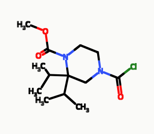 COC(=O)N1CCN(C(=O)Cl)CC1(C(C)C)C(C)C